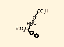 CCOC(=O)[C@H](CCCNC(=O)CCOCCCCC(=O)O)Cc1ccc(-c2ccccc2)cc1